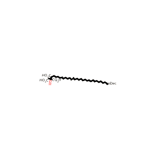 CCCCCCCCCCCCCCCCCCCCCCCCCCCCCCCCCCCCCCC(C(=O)O)C(O)(CC(=O)O)C(=O)O